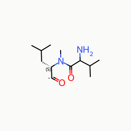 CC(C)C[C@@H]([C]=O)N(C)C(=O)C(N)C(C)C